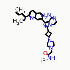 C=C/C(=C\C=C/C)c1ccc2ccc(-c3nc(C4CC(N5CCN(CC(=O)NC(C)C)CC5)C4)n4ccnc(N)c34)cc2n1